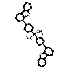 CC(C)(c1ccc(-c2cccc3c2sc2ccccc23)cc1)c1ccc(-c2cccc3c2sc2ccccc23)cc1